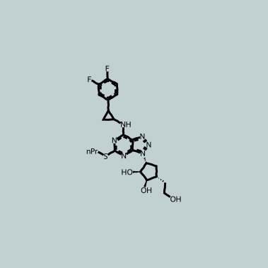 CCCSc1nc(NC2CC2c2ccc(F)c(F)c2)c2nnn([C@@H]3C[C@H](CCO)[C@@H](O)[C@H]3O)c2n1